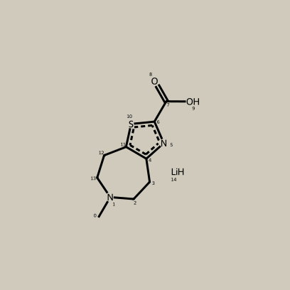 CN1CCc2nc(C(=O)O)sc2CC1.[LiH]